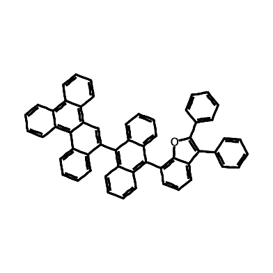 c1ccc(-c2oc3c(-c4c5ccccc5c(-c5cc6c7ccccc7c7ccccc7c6c6ccccc56)c5ccccc45)cccc3c2-c2ccccc2)cc1